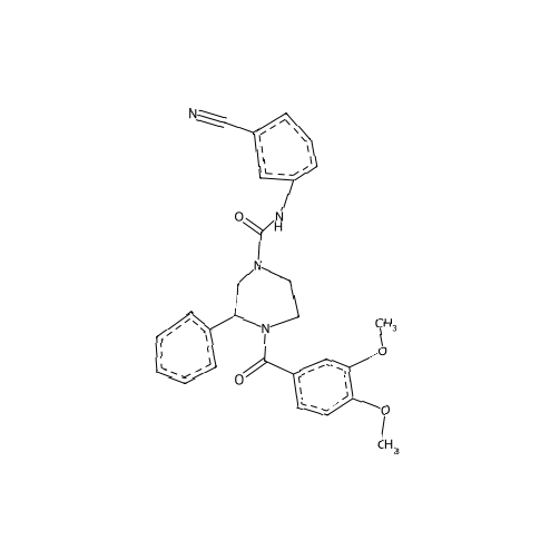 COc1ccc(C(=O)N2CCN(C(=O)Nc3cccc(C#N)c3)CC2c2ccccc2)cc1OC